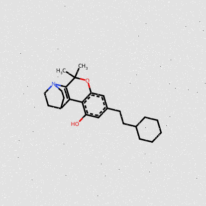 CC1(C)Oc2cc(CCC3CCCCC3)cc(O)c2C2=C1N1CCC2CC1